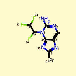 CC(C)c1nc2cnc(N)n(C(F)C(F)F)c-2n1